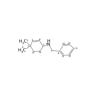 CC1(C)C=CC(NCc2ccccc2)CC1